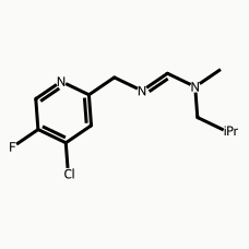 CC(C)CN(C)C=NCc1cc(Cl)c(F)cn1